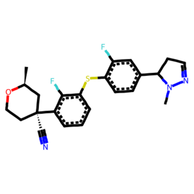 C[C@H]1C[C@@](C#N)(c2cccc(Sc3ccc(C4CC=NN4C)cc3F)c2F)CCO1